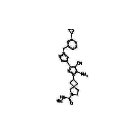 CC(C)(C)NC(=O)N1CC[C@]2(C1)C[C@H](n1nc(-c3cnn(Cc4cccc(C5CC5)c4)c3)c(C#N)c1N)C2